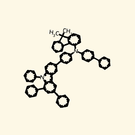 CC1(C)c2ccccc2-c2c(N(c3ccc(-c4ccccc4)cc3)c3ccc(-c4ccc5c(c4)c4cc(-c6ccccc6)cc(-c6ccccc6)c4n5-c4ccccc4)cc3)cccc21